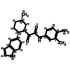 Cc1cc(NC(=O)C(=O)N2C[C@@H](C)CC[C@H]2c2ccc3[nH]ncc3c2)cnc1N